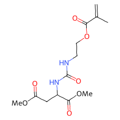 C=C(C)C(=O)OCCNC(=O)NC(CC(=O)OC)C(=O)OC